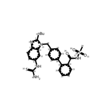 CCCCc1nc2ccc(NC(N)=S)cc2n1Cc1ccc(-c2ccccc2C(=O)NS(C)(=O)=O)cc1